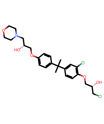 CC(C)(c1ccc(OC[C@H](O)CN2CCOCC2)cc1)c1ccc(OC[C@H](O)CCl)c(Cl)c1